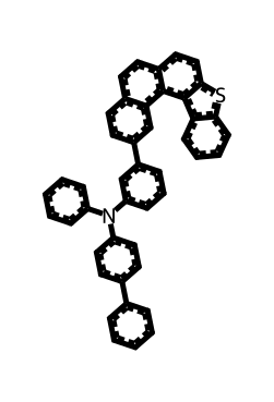 c1ccc(-c2ccc(N(c3ccccc3)c3cccc(-c4ccc5ccc6ccc7sc8ccccc8c7c6c5c4)c3)cc2)cc1